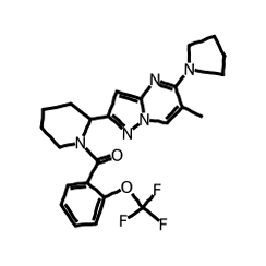 Cc1cn2nc(C3CCCCN3C(=O)c3ccccc3OC(F)(F)F)cc2nc1N1CCCC1